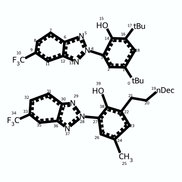 CC(C)(C)c1cc(-n2nc3ccc(C(F)(F)F)cc3n2)c(O)c(C(C)(C)C)c1.CCCCCCCCCCCCc1cc(C)cc(-n2nc3ccc(C(F)(F)F)cc3n2)c1O